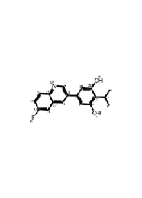 CC(C)c1c(O)cc(-c2cnc3ccc(F)cc3c2)cc1O